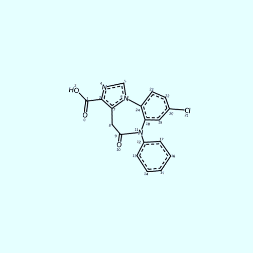 O=C(O)c1ncn2c1CC(=O)N(c1ccccc1)c1cc(Cl)ccc1-2